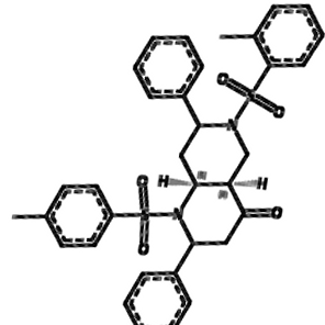 Cc1ccc(S(=O)(=O)N2C(c3ccccc3)CC(=O)[C@@H]3CN(S(=O)(=O)c4ccccc4C)C(c4ccccc4)C[C@@H]32)cc1